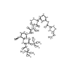 CO[C@@H]1CCN(C(=O)Cc2cccc(N3CCO[C@H]([C@@H](O)C(=O)Nc4ccc(C#N)c(CN(C(=O)OC(C)(C)C)C(=O)OC(C)(C)C)c4)C3=O)c2)C1